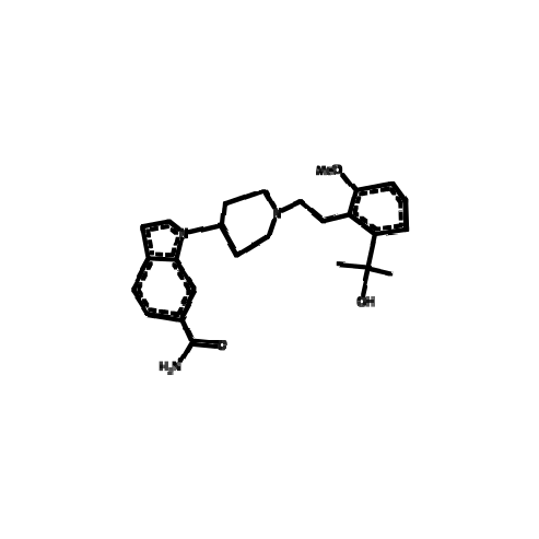 COc1cccc(C(C)(C)O)c1CCN1CCC(n2ccc3ccc(C(N)=O)cc32)CC1